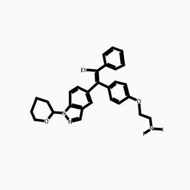 CC/C(=C(/c1ccc(OCCN(I)I)cc1)c1ccc2c(cnn2C2CCCCO2)c1)c1ccccc1